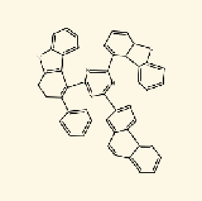 C1=CC2Oc3ccccc3C2C(c2nc(C3=C(c4ccccc4)CCc4oc5ccccc5c43)nc(-c3ccc4c(ccc5ccccc54)c3)n2)=C1